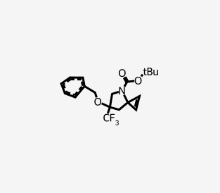 CC(C)(C)OC(=O)N1CC(OCc2ccccc2)(C(F)(F)F)CC12C=C2